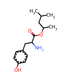 CC(C)CC(C)OC(=O)C(N)Cc1ccc(O)cc1